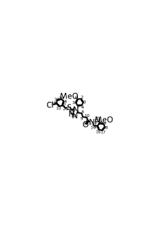 COc1cccc(-n2c(CCCC(=O)NCc3ccccc3OC)nnc2SCc2cccc(Cl)c2)c1